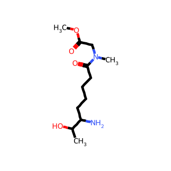 COC(=O)CN(C)C(=O)CCCCC(N)C(C)O